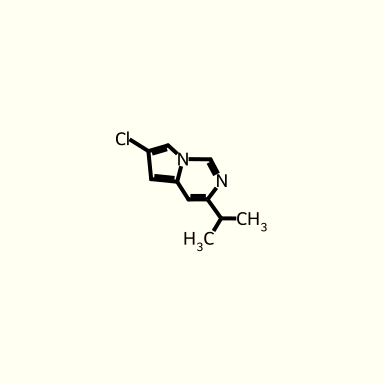 CC(C)c1cc2cc(Cl)cn2cn1